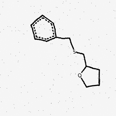 c1ccc(CSCC2CCCO2)cc1